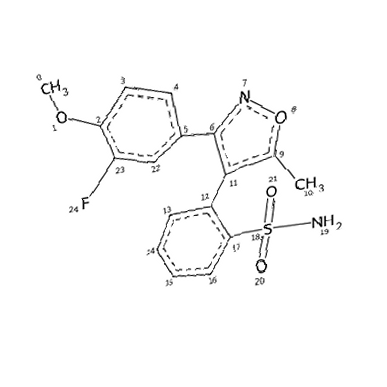 COc1ccc(-c2noc(C)c2-c2ccccc2S(N)(=O)=O)cc1F